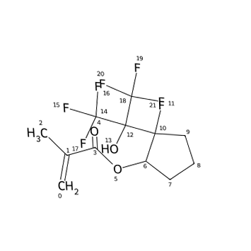 C=C(C)C(=O)OC1CCCC1(F)C(O)(C(F)(F)F)C(F)(F)F